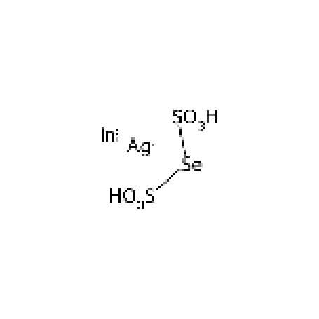 O=S(=O)(O)[Se]S(=O)(=O)O.[Ag].[In]